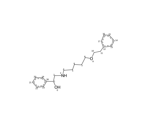 OC(CNCCCCCOCCc1ccccc1)c1ccccc1